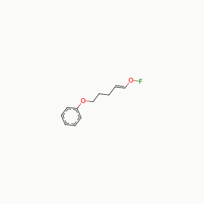 FOC=CCCCOc1ccccc1